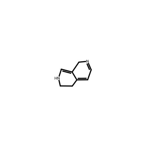 [C]1=C2CN=CC=C2CCN1